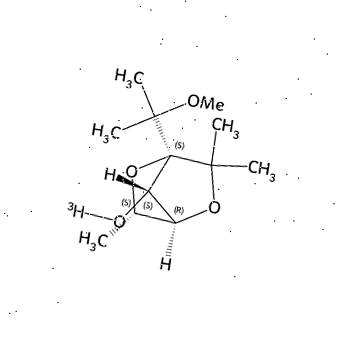 [3H]O[C@H]1[C@H]2OC(C)(C)[C@]1(C(C)(C)OC)O[C@H]2C